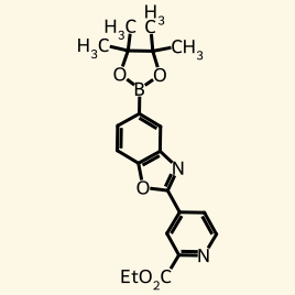 CCOC(=O)c1cc(-c2nc3cc(B4OC(C)(C)C(C)(C)O4)ccc3o2)ccn1